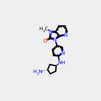 Cn1c(=O)n(-c2ccc(N[C@H]3CC[C@H](N)C3)nc2)c2ncccc21